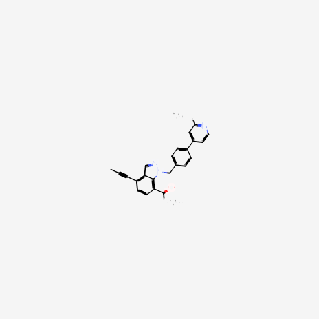 CC#Cc1ccc(C(=O)OC)c2c1cnn2Cc1ccc(-c2ccnc(OC)c2)cc1